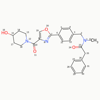 CN(Cc1ccc(-c2nc(C(=O)N3CCC(O)CC3)co2)cc1)C(=O)Cc1ccccc1